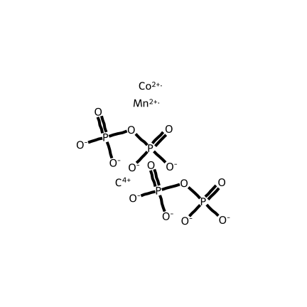 O=P([O-])([O-])OP(=O)([O-])[O-].O=P([O-])([O-])OP(=O)([O-])[O-].[C+4].[Co+2].[Mn+2]